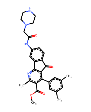 COC(=O)c1c(C)nc2c(c1-c1cc(C)cc(C)c1)C(=O)c1ccc(NC(=O)CN3CCNCC3)cc1-2